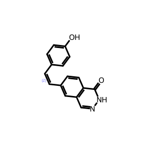 O=c1[nH]ncc2cc(/C=C\c3ccc(O)cc3)ccc12